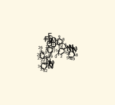 Cc1ccc(C(Cc2ccc(OP(=O)(Oc3ccc(CC(c4cccc(C)c4)n4nnc5ccccc54)cc3)C(F)F)cc2)n2nnc3ccccc32)cc1